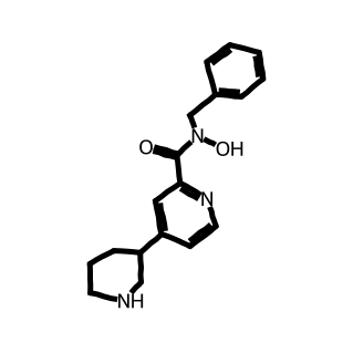 O=C(c1cc(C2CCCNC2)ccn1)N(O)Cc1ccccc1